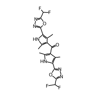 Cc1[nH]c(-c2nnc(C(F)F)o2)c(C)c1C(=O)c1c(C)[nH]c(-c2nnc(C(F)F)o2)c1C